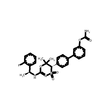 C[C@H](NC1=NS(=O)(=O)[C@@H](c2ccc(-c3cccc(OC(N)=O)c3)cc2)C(C)(C)O1)c1ccccc1F